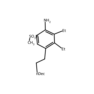 CCCCCCCCCCCCc1ccc(N)c(CC)c1CC.CS(=O)(=O)O